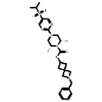 CC(C)S(=O)(=O)c1cnc(N2C[C@@H](C)N(C(=O)OC3CC4(C3)CN(Cc3ccccc3)C4)[C@@H](C)C2)nc1